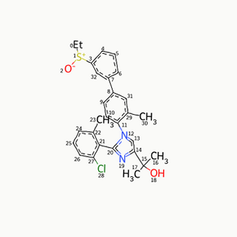 CC[S+]([O-])c1cccc(-c2ccc(-n3cc(C(C)(C)O)nc3-c3c(C)cccc3Cl)c(C)c2)c1